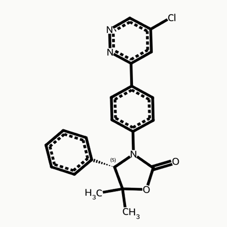 CC1(C)OC(=O)N(c2ccc(-c3cc(Cl)cnn3)cc2)[C@H]1c1ccccc1